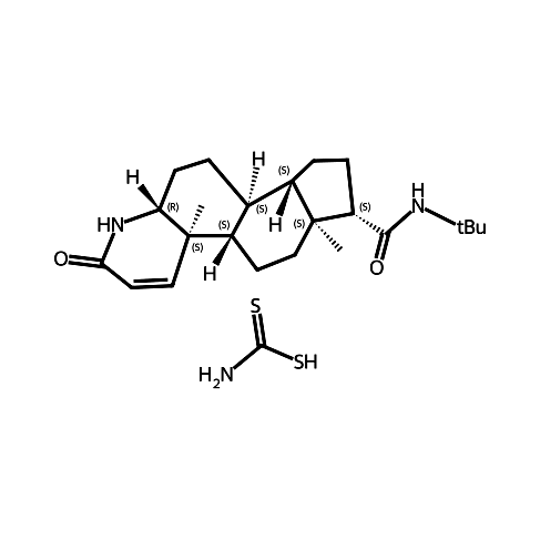 CC(C)(C)NC(=O)[C@H]1CC[C@H]2[C@@H]3CC[C@H]4NC(=O)C=C[C@]4(C)[C@H]3CC[C@]12C.NC(=S)S